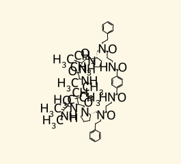 CN[C@@H](C)C(=O)N[C@H](C(=O)N1CCC[C@H]1CN(CCc1ccccc1)C(=O)CCNC(=O)c1ccc(C(=O)NCCC(=O)N(CCc2ccccc2)C[C@@H]2CCCN2C(=O)[C@@H](NC(=O)[C@H](C)NC)C(C)(C)C)cc1)C(C)(C)C